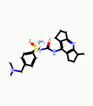 CC1CCc2c1nc1c(c2NC(=O)N=[S@](N)(=O)c2ccc(CN(C)C)cc2)CCC1